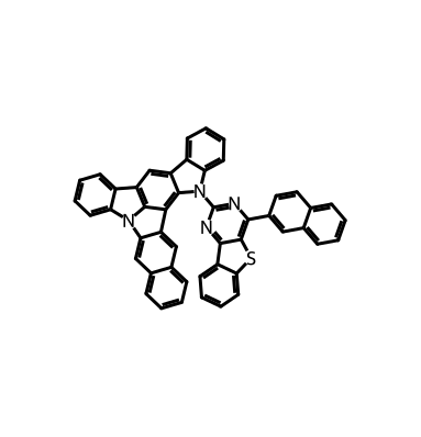 c1ccc2cc(-c3nc(-n4c5ccccc5c5cc6c7ccccc7n7c8cc9ccccc9cc8c(c54)c67)nc4c3sc3ccccc34)ccc2c1